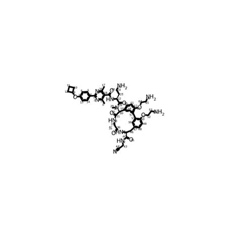 Cc1nc(-c2ccc(OC3CCC3)cc2)nc(C)c1C(=O)N[C@@H](CCN)C(=O)N(C)[C@@H]1C(=O)N[C@@H](C)C(=O)N[C@H](C(=O)NCC#N)Cc2ccc(OCCN)c(c2)-c2cc1ccc2OCCN